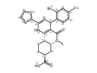 COC(=O)C1=C([C@H]2CC[C@H](C(=O)O)CC2)NC(c2nccs2)=NC1c1ccc(F)cc1Br